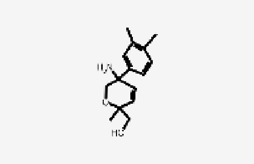 Cc1ccc(C2(N)C=CC(C)(CO)OC2)cc1C